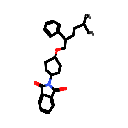 CC(C)CCC(CO[C@H]1CC[C@H](N2C(=O)c3ccccc3C2=O)CC1)c1ccccc1